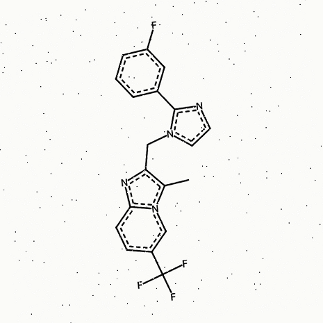 Cc1c(Cn2ccnc2-c2cccc(F)c2)nc2ccc(C(F)(F)F)cn12